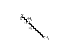 CCCCCCCCCCCCCCOC(=O)C(N)CCC(=O)[O-].[Na+]